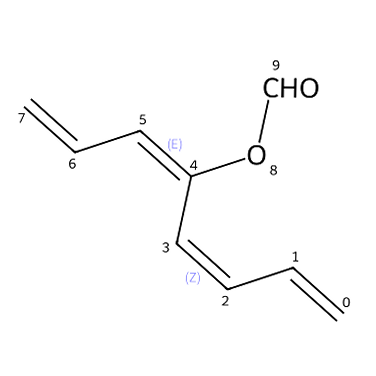 C=C/C=C\C(=C/C=C)OC=O